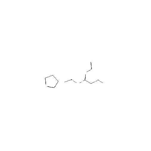 C1CCOC1.CCOC(C[CH2][Zn+])OCC.[Br-]